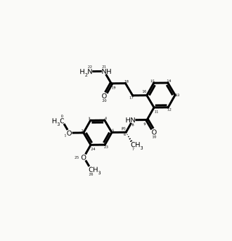 COc1ccc([C@@H](C)NC(=O)c2ccccc2CCC(=O)NN)cc1OC